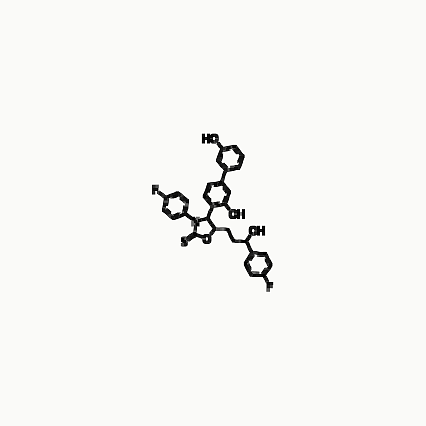 Oc1cccc(-c2ccc(C3C(CCC(O)c4ccc(F)cc4)OC(=S)N3c3ccc(F)cc3)c(O)c2)c1